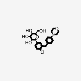 OC[C@H]1O[C@@H](c2ccc(Cl)c(Cc3ccc(N4CCOCC4)cc3)c2)[C@H](O)[C@@H](O)[C@@H]1O